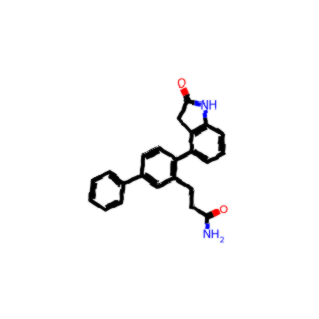 NC(=O)CCc1cc(-c2ccccc2)ccc1-c1cccc2c1CC(=O)N2